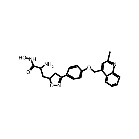 Cc1cc(COc2ccc(C3=NOC(CC(N)C(=O)NO)C3)cc2)c2ccccc2n1